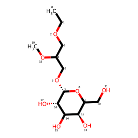 CCOCC(CO[C@@H]1OC(CO)[C@@H](O)C(O)[C@@H]1O)OC